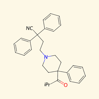 CC(C)C(=O)C1(c2ccccc2)CCN(CCC(C#N)(c2ccccc2)c2ccccc2)CC1